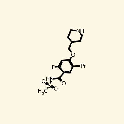 CC(C)c1cc(C(=O)NS(C)(=O)=O)c(F)cc1OCC1CCNCC1